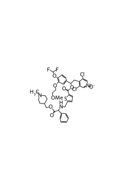 COCCOc1cc(C(Cc2c(Cl)c[n+]([O-])cc2Cl)OC(=O)c2ccc(CNC(C(=O)OCC3CCN(C)CC3)c3ccccc3)s2)ccc1OC(F)F